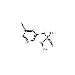 CCC(C)OP(=O)(O)Cc1cccc(I)c1